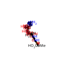 COC(C(=O)O)C(=O)SCCNC(=O)CCNC(=O)[C@H](O)C(C)(C)COP(=O)(O)OP(=O)(O)OC[C@H]1O[C@@H](n2cnc3c(N)ncnc32)[C@H](O)[C@@H]1OP(=O)(O)O